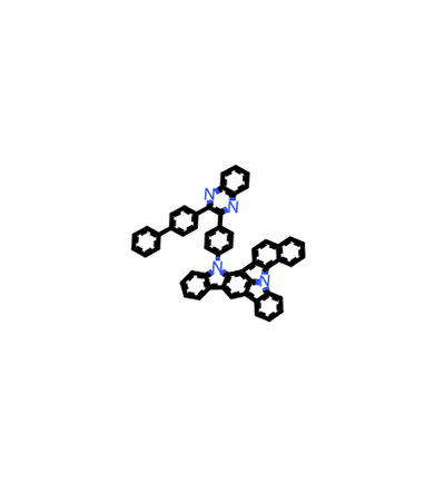 c1ccc(-c2ccc(-c3nc4ccccc4nc3-c3ccc(-n4c5ccccc5c5cc6c7ccccc7n7c8c9ccccc9ccc8c(c54)c67)cc3)cc2)cc1